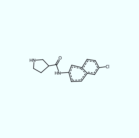 O=C(Nc1ccc2cc(Cl)ccc2c1)C1CCNC1